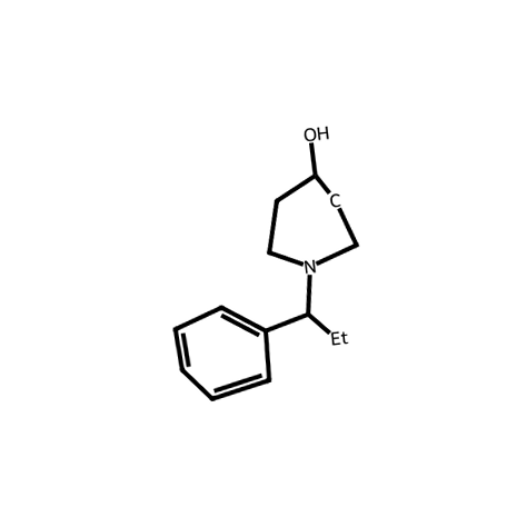 CCC(c1ccccc1)N1CCC(O)CC1